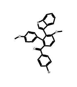 COc1ccc(-c2c(C(=O)c3ccc(Br)cc3)ccc(OC)c2-c2csc3ccccc23)cc1